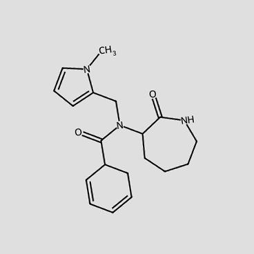 Cn1cccc1CN(C(=O)C1C=CC=CC1)C1CCCCNC1=O